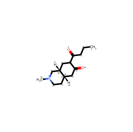 CCCC(=O)C1C[C@H]2CN(C)CC[C@H]2CC1=O